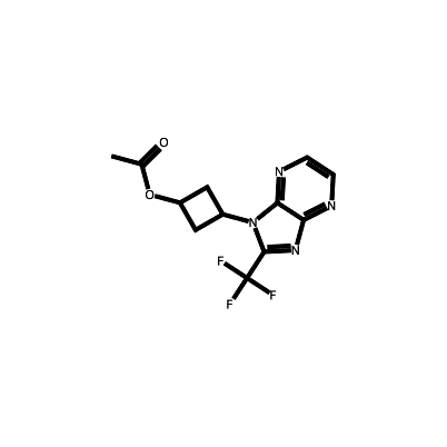 CC(=O)OC1CC(n2c(C(F)(F)F)nc3nccnc32)C1